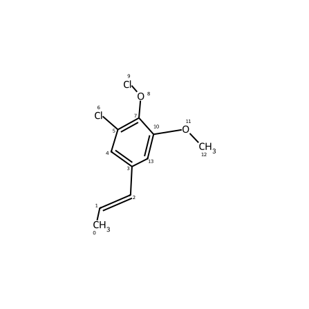 CC=Cc1cc(Cl)c(OCl)c(OC)c1